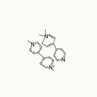 C[N+]1(C)C=CC(c2ccncc2)=CC1.C[n+]1ccc(-c2cc[n+](C)cc2)cc1